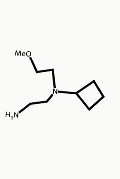 COCCN(CCN)C1CCC1